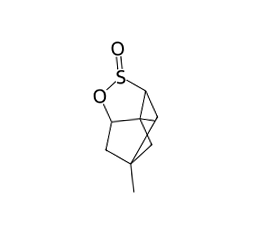 CC12CC3OS(=O)C(C1)C3(C)C2